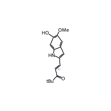 COc1cc2cc(/C=C/C(=O)C(C)(C)C)[nH]c2cc1O